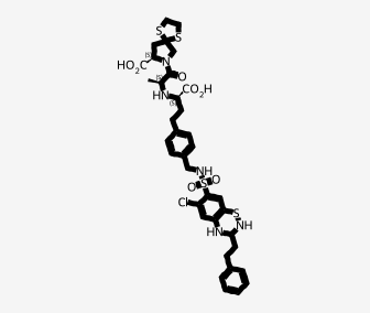 C[C@H](N[C@@H](CCc1ccc(CNS(=O)(=O)c2cc3c(cc2Cl)NC(CCc2ccccc2)NS3)cc1)C(=O)O)C(=O)N1CC2(C[C@H]1C(=O)O)SCCS2